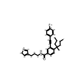 CCCC(C)(CCC)c1ccc(C(=O)NCCCC2=CCN=C2)cc1C#Cc1ccc(F)cc1